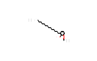 CCCCCCCCCCCCCCCc1cccc(OCC)c1CO